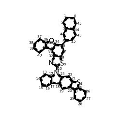 c1ccc2cc(-c3cc4sc(-n5c6ccccc6c6cc7c(cc65)sc5ccccc57)nc4c4c3oc3ccccc34)ccc2c1